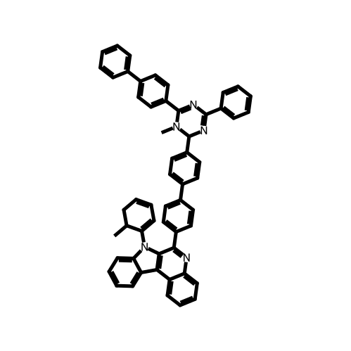 CC1CC=CC=C1n1c2ccccc2c2c3ccccc3nc(-c3ccc(-c4ccc(C5N=C(c6ccccc6)N=C(c6ccc(-c7ccccc7)cc6)N5C)cc4)cc3)c21